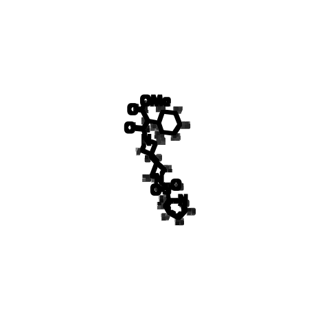 COC(=O)C(C(=O)N1CC(=C2CN(S(=O)(=O)c3ccccn3)C2)C1)C1CCCCC1